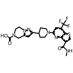 CNC(=O)c1csc2c(C(F)(F)F)cc(N3CCC(c4cc5n(n4)CCN(C(=O)O)C5)CC3)nc12